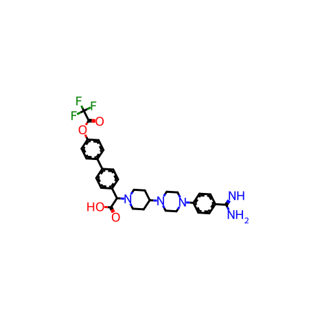 N=C(N)c1ccc(N2CCN(C3CCN(C(C(=O)O)c4ccc(-c5ccc(OC(=O)C(F)(F)F)cc5)cc4)CC3)CC2)cc1